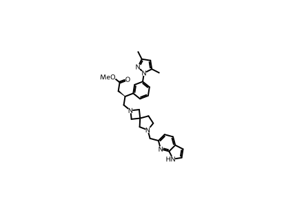 COC(=O)C[C@H](CN1CC2(CCN(Cc3ccc4cc[nH]c4n3)C2)C1)c1cccc(-n2nc(C)cc2C)c1